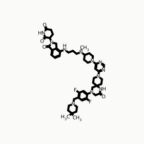 CN(CCCNc1cccc2c1CN(C1CCC(=O)NC1=O)C2=O)C1CCN(c2cc(N3CCC4(CC3)CN(c3cc(F)c(CN5CCC(C)(C)CC5)cc3F)CC(=O)N4)ncn2)CC1